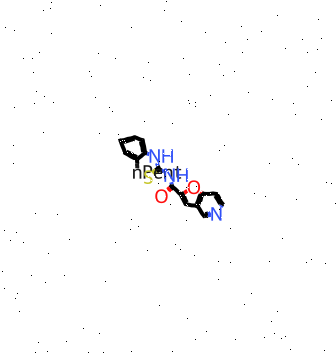 CCCCCc1ccccc1NC(=S)NC(=O)c1cc2cnccc2o1